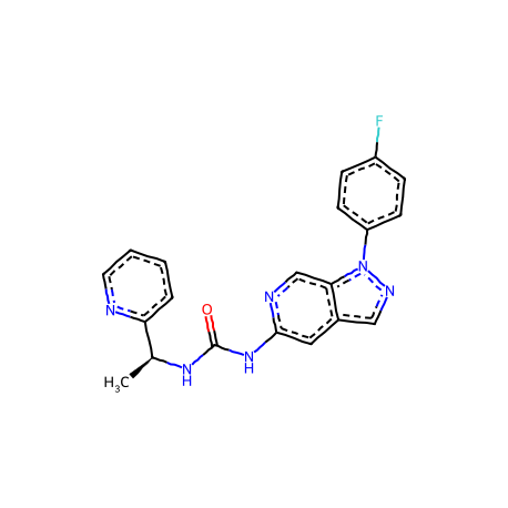 C[C@H](NC(=O)Nc1cc2cnn(-c3ccc(F)cc3)c2cn1)c1ccccn1